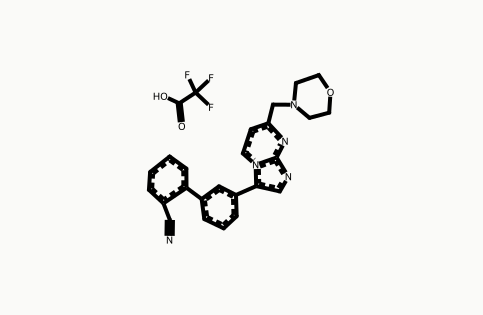 N#Cc1ccccc1-c1cccc(-c2cnc3nc(CN4CCOCC4)ccn23)c1.O=C(O)C(F)(F)F